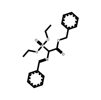 CCOP(=O)(OCC)C(N=Cc1ccccc1)C(=O)OCc1ccccc1